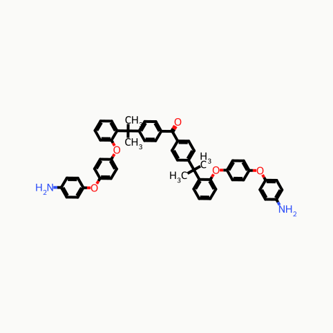 CC(C)(c1ccc(C(=O)c2ccc(C(C)(C)c3ccccc3Oc3ccc(Oc4ccc(N)cc4)cc3)cc2)cc1)c1ccccc1Oc1ccc(Oc2ccc(N)cc2)cc1